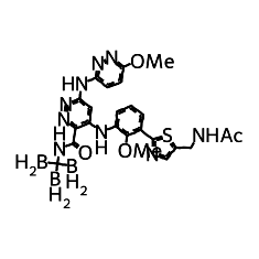 BC(B)(B)NC(=O)c1nnc(Nc2ccc(OC)nn2)cc1Nc1cccc(-c2ncc(CNC(C)=O)s2)c1OC